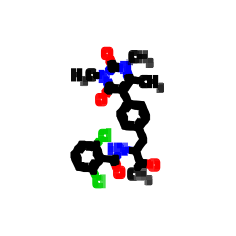 CC(=O)C(Cc1ccc(-c2c(C)n(C)c(=O)n(C)c2=O)cc1)NC(=O)c1c(Cl)cccc1Cl